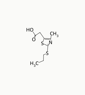 CCCSc1nc(C)c(CC(=O)O)s1